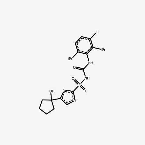 CC(C)c1ccc(F)c(C(C)C)c1NC(=O)NS(=O)(=O)c1ncc(C2(O)CCCC2)s1